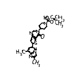 Cc1cn2nc(-c3cc4ncn(C5CCN(C(=O)OC(C)(C)C)CC5)c(=O)c4s3)cc(C)c2n1